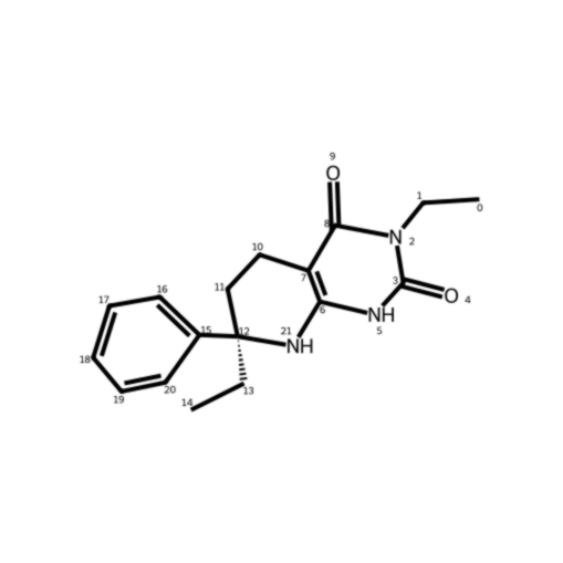 CCn1c(=O)[nH]c2c(c1=O)CC[C@](CC)(c1ccccc1)N2